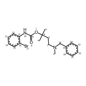 CN(CCC(C)(C)OC(=O)Nc1ccccc1Br)Cc1ccccc1